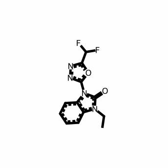 CCn1c(=O)n(-c2nnc(C(F)F)o2)c2ccccc21